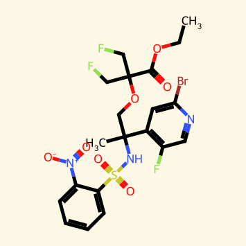 CCOC(=O)C(CF)(CF)OCC(C)(NS(=O)(=O)c1ccccc1[N+](=O)[O-])c1cc(Br)ncc1F